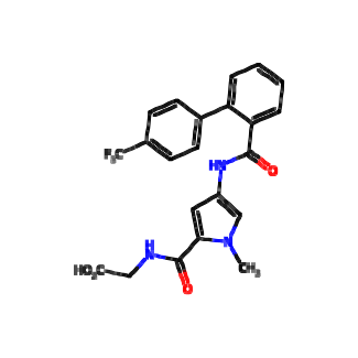 Cn1cc(NC(=O)c2ccccc2-c2ccc(C(F)(F)F)cc2)cc1C(=O)NCC(=O)O